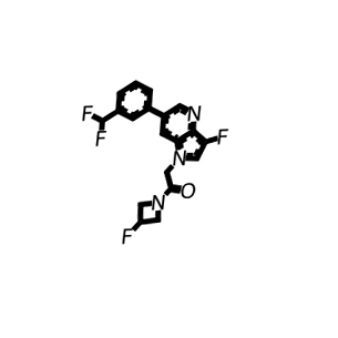 O=C(Cn1cc(F)c2ncc(-c3cccc(C(F)F)c3)cc21)N1CC(F)C1